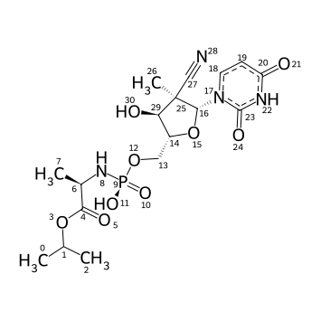 CC(C)OC(=O)[C@@H](C)N[P@](=O)(O)OC[C@H]1O[C@@H](n2ccc(=O)[nH]c2=O)[C@](C)(C#N)[C@@H]1O